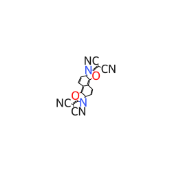 N#CC(C#N)=c1nc2ccc3c(ccc4nc(=C(C#N)C#N)oc43)c2o1